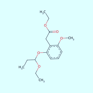 CCOC(=O)Cc1c(OC)cccc1OC(CC)OCC